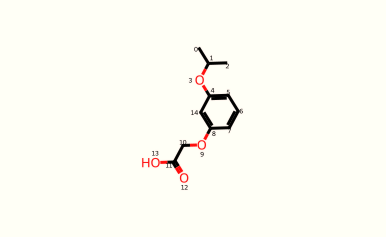 CC(C)Oc1cccc(OCC(=O)O)c1